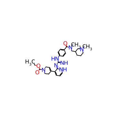 CCOC(=O)N1CC=C(c2ccc[nH]/c2=N\C(=N)Nc2ccc(C(=O)N(C)CC3CCCN(C)C3)cc2)CC1